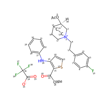 CC(=O)O[C@H]1C[N+]2(CCc3ccc(F)cc3)CCC1CC2.COC(=O)c1sccc1Nc1ccccc1.O=C([O-])C(F)(F)F